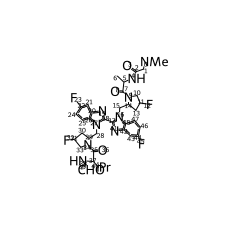 CNCC(=O)NC(C)C(=O)N1CC(F)CC1Cn1c(-c2nc3cc(F)ccc3n2CC2CC(F)CN2C(=O)C(NC=O)C(C)C)nc2cc(F)ccc21